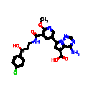 COc1ncc(-c2cc(C(=O)O)c3c(N)ncnn23)cc1C(=O)NCC[C@H](O)c1ccc(Cl)cc1